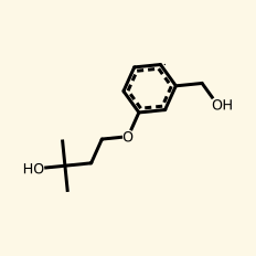 CC(C)(O)CCOc1cc[c]c(CO)c1